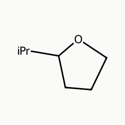 CC(C)C1CCCO1